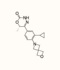 C[C@@H]1OC(=O)NN=C1c1ccc(N2CC3(COC3)C2)c(C2CC2)c1